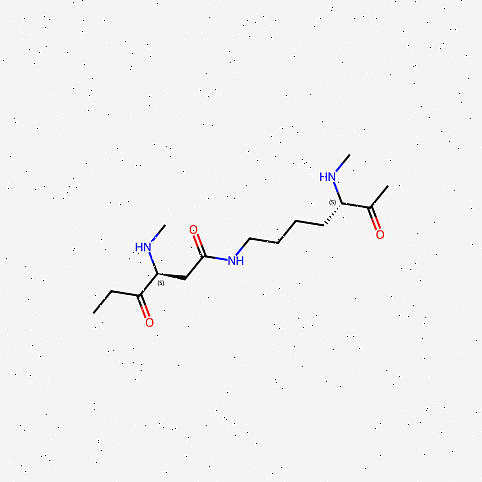 CCC(=O)[C@H](CC(=O)NCCCC[C@H](NC)C(C)=O)NC